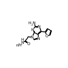 CCCNC(=O)Cn1cnc2c(-c3ccco3)nc(N)nc21